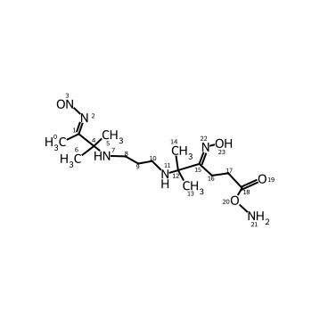 C/C(=N\N=O)C(C)(C)NCCCNC(C)(C)/C(CCC(=O)ON)=N/O